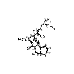 CN(C)CCNC(=O)c1cccn2c(=O)c3ccc4ccccc4c3nc12.Cl